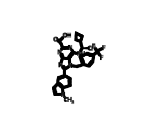 C[C@@H](Nc1nc(C(=O)O)nc2nc(-c3ccc4c(ccn4C)c3)n(Cc3ccc(C(F)(F)F)cc3)c12)C1CCC1